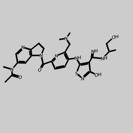 CC(=O)N(C)c1cnc2c(c1)N(C(=O)c1ccc(Nc3snc(O)c3C(=N)NC(C)CO)c(CN(C)C)n1)CC2